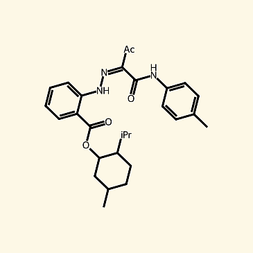 CC(=O)/C(=N/Nc1ccccc1C(=O)OC1CC(C)CCC1C(C)C)C(=O)Nc1ccc(C)cc1